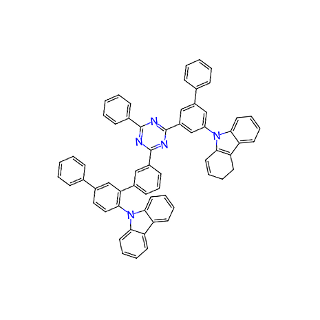 C1=Cc2c(c3ccccc3n2-c2cc(-c3ccccc3)cc(-c3nc(-c4ccccc4)nc(-c4cccc(-c5cc(-c6ccccc6)ccc5-n5c6ccccc6c6ccccc65)c4)n3)c2)CC1